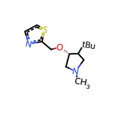 CN1CC(C(C)(C)C)[C@@H](OCc2nccs2)C1